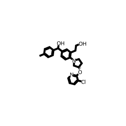 Cc1ccc(C(O)c2ccc(N3CC[C@H](Oc4ncccc4Cl)C3)c(CCO)c2)cc1